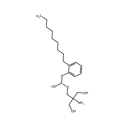 CCCCCCCCCc1ccccc1OP(O)OCC(N)(CO)CO